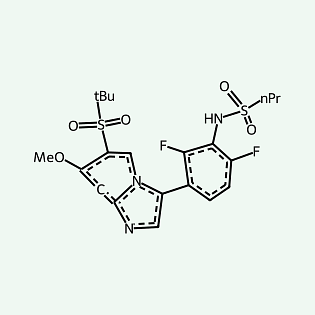 CCCS(=O)(=O)Nc1c(F)ccc(-c2cnc3cc(OC)c(S(=O)(=O)C(C)(C)C)cn23)c1F